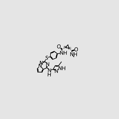 CNC(=O)[C@H]1C[C@H]1C(=O)Nc1ccc(Sc2nc(Nc3cc(C)[nH]n3)c3cccn3n2)cc1